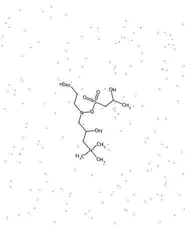 CCCCCCCCCCCCN(CC(O)C[N+](C)(C)C)OS(=O)(=O)CC(C)O